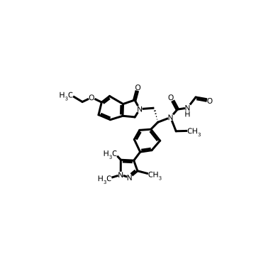 CCOc1ccc2c(c1)C(=O)N(C[C@@H](c1ccc(-c3c(C)nn(C)c3C)cc1)N(CC)C(=O)NC=O)C2